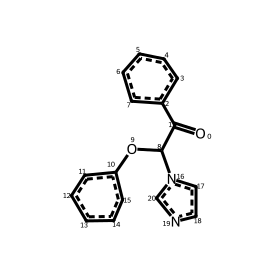 O=C(c1ccccc1)C(Oc1ccccc1)n1ccnc1